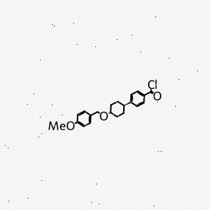 COc1ccc(CO[C@H]2CC[C@H](c3ccc(C(=O)Cl)cc3)CC2)cc1